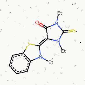 CCN1C(=O)/C(=C2\Sc3ccccc3N2CC)N(CC)C1=S